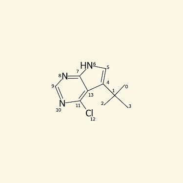 CC(C)(C)c1c[nH]c2ncnc(Cl)c12